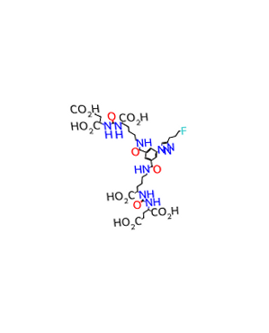 O=C(O)CCC(NC(=O)NC(CCCCNC(=O)c1cc(C(=O)NCCCCC(NC(=O)NC(CCC(=O)O)C(=O)O)C(=O)O)cc(-n2cc(CCCF)nn2)c1)C(=O)O)C(=O)O